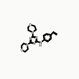 C=Cc1ccc(Nc2nc(N3CCOCC3)nc(N3CCOCC3)n2)cc1